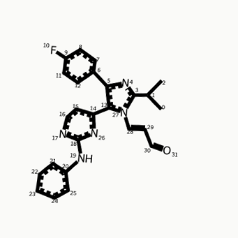 CC(C)c1nc(-c2ccc(F)cc2)c(-c2ccnc(Nc3ccccc3)n2)n1/C=C/C=O